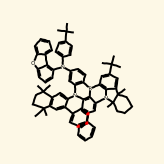 CC(C)(C)c1ccc(N(c2ccc3c(c2)N(c2cc4c(cc2-c2ccccc2)C(C)(C)CCC4(C)C)c2cc(-c4ccccc4)cc4c2B3c2cc(C(C)(C)C)cc3c2N4C2(C)CCCCC32C)c2cccc3oc4ccccc4c23)cc1